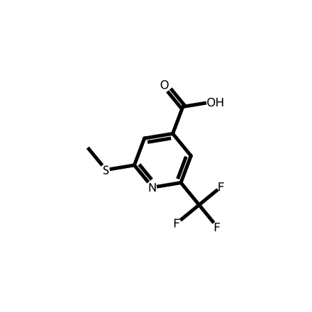 CSc1cc(C(=O)O)cc(C(F)(F)F)n1